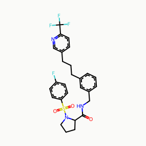 O=C(NCc1cccc(CCCc2ccc(C(F)(F)F)nc2)c1)C1CCCN1S(=O)(=O)c1ccc(F)cc1